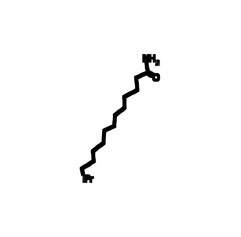 CC(C)CCCCCCCCCCCC(N)=O